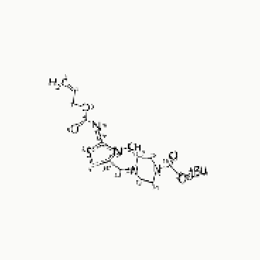 C=CCOC(=O)/N=c1\scc(CN2CCN(C(=O)OC(C)(C)C)CC2)n1C